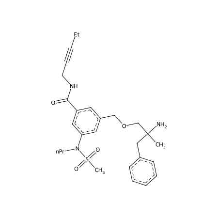 CCC#CCNC(=O)c1cc(COCC(C)(N)Cc2ccccc2)cc(N(CCC)S(C)(=O)=O)c1